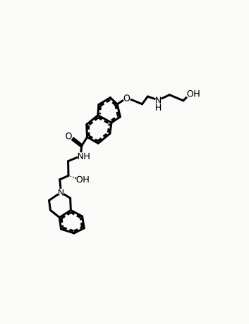 O=C(NC[C@H](O)CN1CCc2ccccc2C1)c1ccc2cc(OCCNCCO)ccc2c1